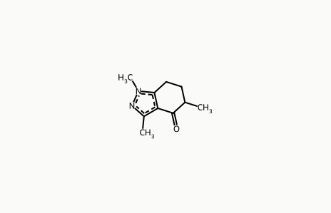 Cc1nn(C)c2c1C(=O)C(C)CC2